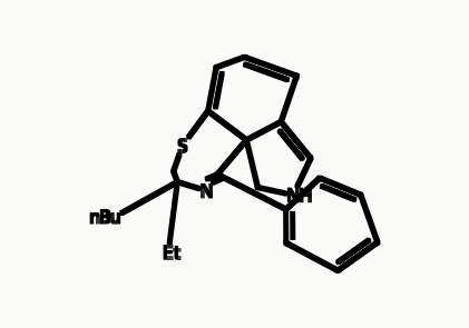 CCCCC1(CC)CSC2=CC=CC3=CNCC32C(c2ccccc2)=N1